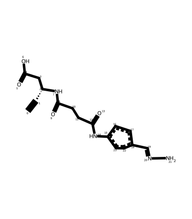 C#C[C@H](CC(=O)O)NC(=O)CCC(=O)Nc1ccc(C=NN)cc1